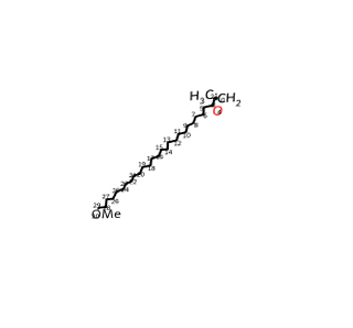 C=C(C)C(=O)CCCCCCCCCCCCCCCCCCCCCCCCCOC